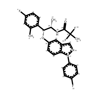 Cc1cc(F)ccc1[C@@H](Oc1ccc2c(cnn2-c2ccc(F)cc2)c1)[C@H](C)NC(=O)C(C)(F)F